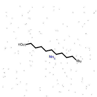 CCCCCCCCCCCCCCCCCC(C)(C)C.N